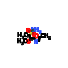 CO[C@@H](c1ncc(C)o1)[C@@H](C)S(N)(=O)=O